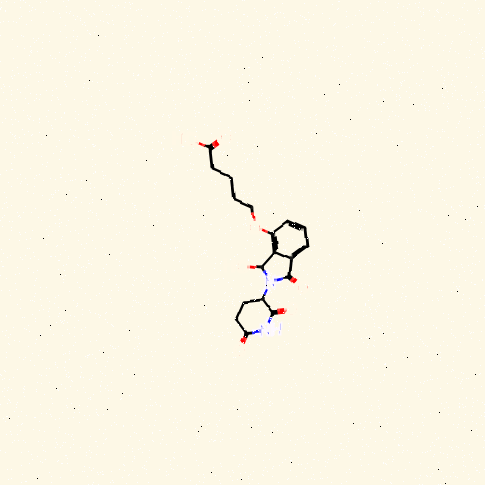 O=C(O)CCCCOc1cccc2c1C(O)N(C1CCC(=O)NC1=O)C2=O